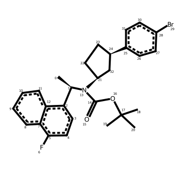 C[C@H](c1ccc(F)c2ccccc12)N(C(=O)OC(C)(C)C)[C@H]1CC[C@@H](c2ccc(Br)cc2)C1